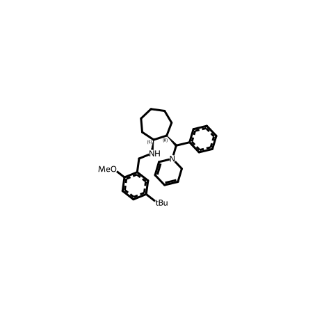 COc1ccc(C(C)(C)C)cc1CN[C@H]1CCCCC[C@H]1C(c1ccccc1)N1C=CC=CC1